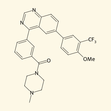 COc1ccc(-c2ccc3ncnc(-c4cccc(C(=O)N5CCN(C)CC5)c4)c3c2)cc1C(F)(F)F